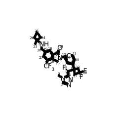 Cn1cnnc1[C@@H](F)C1(c2cccc(N3Cc4c(cc(CNC5(C)CCC5)cc4C(F)(F)F)C3=O)c2)CC(F)(F)C1